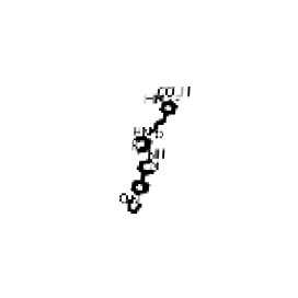 O=C(O)Nc1cccc(CCC(=O)Nc2cncc(Nc3ccc(-c4ccc(N5CCCC5=O)cc4)cn3)c2)c1